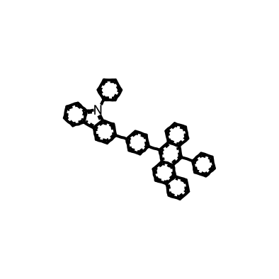 c1ccc(-c2c3ccccc3c(-c3ccc(-c4ccc5c6ccccc6n(-c6ccccc6)c5c4)cc3)c3ccc4ccccc4c23)cc1